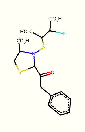 O=C(O)C(F)C(SN1C(C(=O)O)CSC1C(=O)Cc1ccccc1)C(=O)O